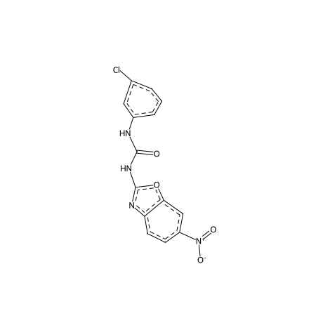 O=C(Nc1cccc(Cl)c1)Nc1nc2ccc([N+](=O)[O-])cc2o1